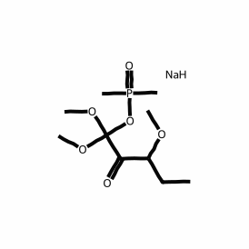 CCC(OC)C(=O)C(OC)(OC)OP(C)(C)=O.[NaH]